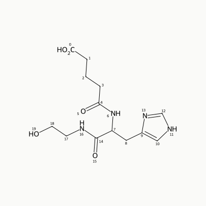 O=C(O)CCCC(=O)NC(Cc1c[nH]cn1)C(=O)NCCO